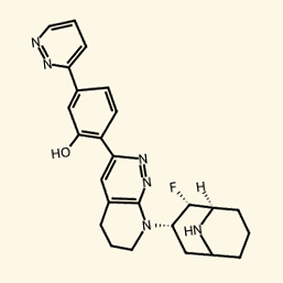 Oc1cc(-c2cccnn2)ccc1-c1cc2c(nn1)N([C@H]1CC3CCC[C@@H](N3)[C@H]1F)CCC2